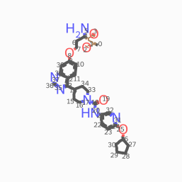 CS(=O)(=O)C(N)CCOc1ccc2c(C3CCN(C(=O)Nc4ccc(OC5CCCC5)nc4)CC3)ncnc2c1